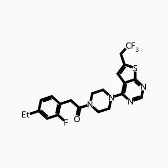 CCc1ccc(CC(=O)N2CCN(c3ncnc4sc(CC(F)(F)F)cc34)CC2)c(F)c1